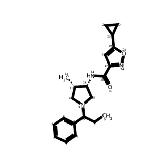 CCC(c1ccccc1)N1C[C@H](C)[C@H](NC(=O)c2cc(C3CC3)on2)C1